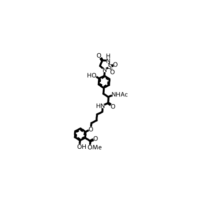 COC(=O)c1c(O)cccc1OCCCCNC(=O)C(Cc1ccc(N2CC(=O)NS2(=O)=O)c(O)c1)NC(C)=O